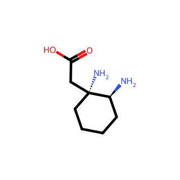 N[C@H]1CCCC[C@@]1(N)CC(=O)O